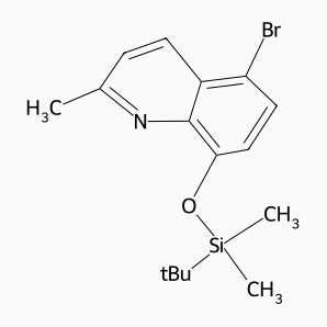 Cc1ccc2c(Br)ccc(O[Si](C)(C)C(C)(C)C)c2n1